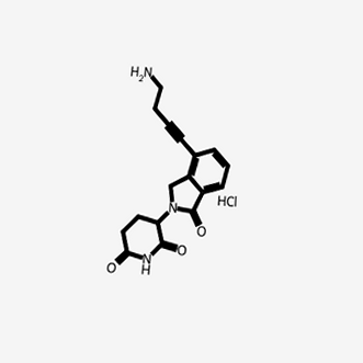 Cl.NCCC#Cc1cccc2c1CN(C1CCC(=O)NC1=O)C2=O